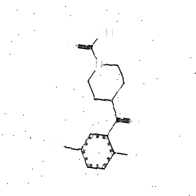 CC(=O)N1CCC(C(=O)c2cc(Cl)ccc2Cl)CC1